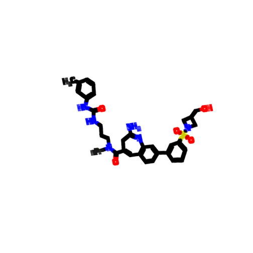 CCCN(CCCNC(=O)Nc1cccc(C)c1)C(=O)C1=Cc2ccc(-c3cccc(S(=O)(=O)N4CC(CO)C4)c3)cc2N=C(N)C1